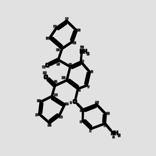 Nc1ccc(Oc2ccc(N)c(C(=O)c3ccccc3)c2C(=O)c2ccccc2)cc1